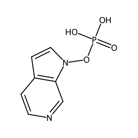 O=P(O)(O)On1ccc2ccncc21